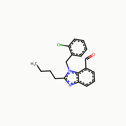 CCCCc1nc2cccc(C=O)c2n1Cc1ccccc1Cl